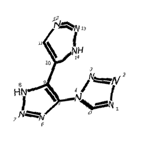 [c]1nnnn1-c1nn[nH]c1-c1cnn[nH]1